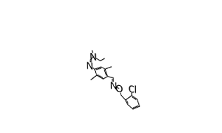 CCN(C)/C=N\c1cc(C)c(/C=N/OCc2ccccc2Cl)cc1C